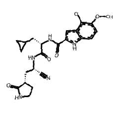 COc1ccc2[nH]c(C(=O)N[C@@H](CC3CC3)C(=O)N[C@H](C#N)C[C@@H]3CCNC3=O)cc2c1Cl